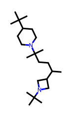 CC(CCC(C)(C)N1CCC(C(C)(C)C)CC1)C1CN(C(C)(C)C)C1